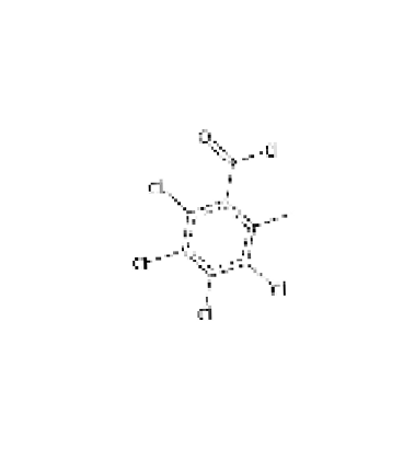 Cc1c(Cl)c(Cl)c(Cl)c(Cl)c1C(=O)Cl